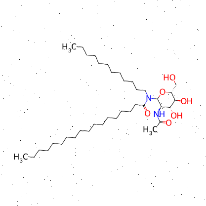 CCCCCCCCCCCCCCCCCC(=O)N(CCCCCCCCCCCC)C1O[C@H](CO)[C@@H](O)[C@H](O)[C@H]1NC(C)=O